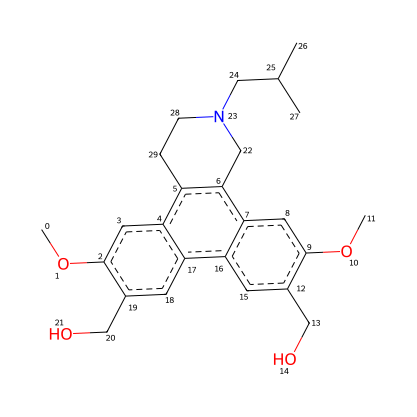 COc1cc2c3c(c4cc(OC)c(CO)cc4c2cc1CO)CN(CC(C)C)CC3